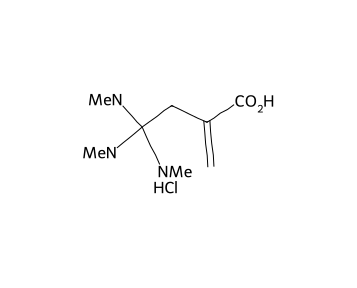 C=C(CC(NC)(NC)NC)C(=O)O.Cl